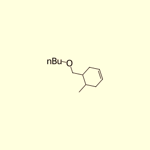 CCCCOCC1CC=CCC1C